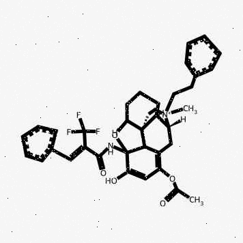 CC(=O)OC1=C2C[C@@H]3[C@@H]4CCC[C@@H]5OC(NC(=O)C(=Cc6ccccc6)C(F)(F)F)(C(O)=C1)C2[C@@]54CC[N+]3(C)CCc1ccccc1